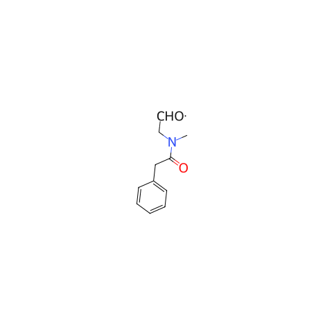 CN(C[C]=O)C(=O)Cc1ccccc1